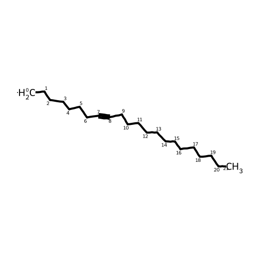 [CH2]CCCCCCC#CCCCCCCCCCCCCC